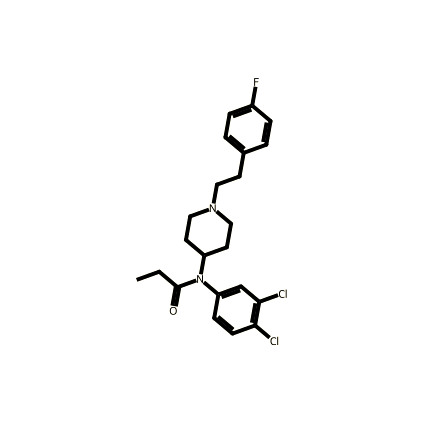 CCC(=O)N(c1ccc(Cl)c(Cl)c1)C1CCN(CCc2ccc(F)cc2)CC1